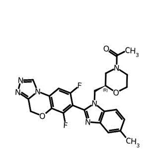 CC(=O)N1CCO[C@@H](Cn2c(-c3c(F)cc4c(c3F)OCc3nncn3-4)nc3cc(C)ccc32)C1